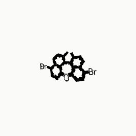 Cc1ccc2c(Br)ccc3oc4ccc(Br)c5ccc(C)c(c1c32)c45